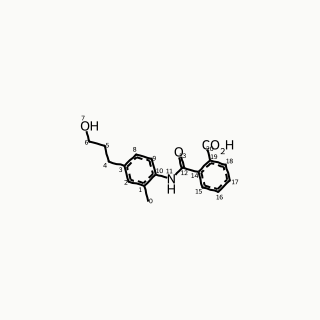 Cc1cc(CCCO)ccc1NC(=O)c1ccccc1C(=O)O